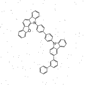 c1ccc(-c2cccc(-c3ccc4c(c3)c3ccccc3n4-c3ccc(-c4ccc(-n5c6ccccc6c6ccc7c8ccccc8oc7c65)cc4)cc3)c2)cc1